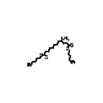 CC(C)CCCCOC(=O)CCCCCCCC(C)CCC(=O)OCCCCC(C)C